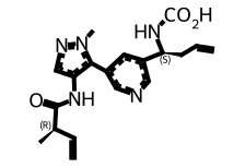 C=CC[C@H](NC(=O)O)c1cncc(-c2c(NC(=O)[C@H](C)C=C)cnn2C)c1